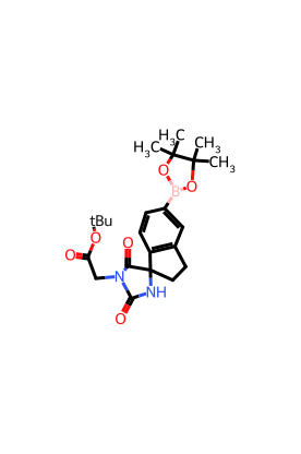 CC(C)(C)OC(=O)CN1C(=O)NC2(CCc3cc(B4OC(C)(C)C(C)(C)O4)ccc32)C1=O